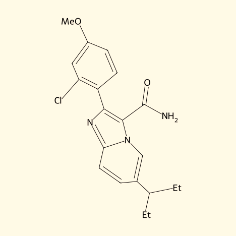 CCC(CC)c1ccc2nc(-c3ccc(OC)cc3Cl)c(C(N)=O)n2c1